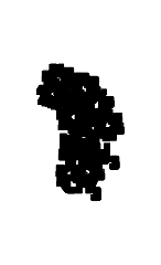 C/C=C\C1=C(/C=N\C2=CC3=C(CC2)c2ccccc2C32c3cccc(N(C4=CCCC=C4c4ccccc4)c4ccccc4)c3C3CCC=CC32)C(C)(C)c2ccccc21